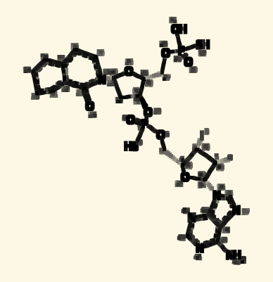 C[C@H]1[C@@H](I)[C@@H](COP(=O)(S)O[C@H]2C[C@H](n3ccc4ccccc4c3=O)O[C@@H]2COP(=O)(O)S)O[C@H]1n1cnc2c(N)ncnc21